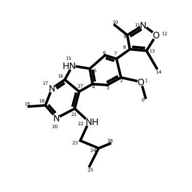 COc1cc2c(cc1-c1c(C)noc1C)[nH]c1nc(C)nc(NCC(C)C)c12